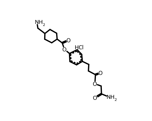 Cl.NCC1CCC(C(=O)Oc2ccc(CCC(=O)OCC(N)=O)cc2)CC1